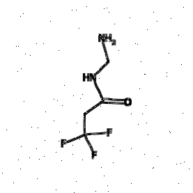 NCNC(=O)CC(F)(F)F